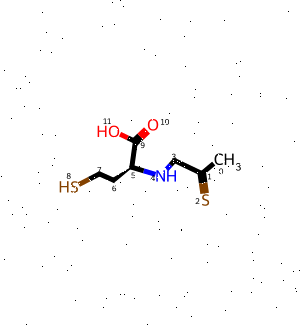 CC(=S)CN[C@@H](CCS)C(=O)O